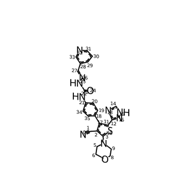 N#Cc1c(N2CCOCC2)sc(-c2nc[nH]n2)c1-c1ccc(NC(=O)N/N=C/c2cccnc2)cc1